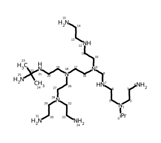 CC(C)N(CCN)CCNCN(CCNCCN)CCN(CCNC(C)(C)N)CCN(CCN)CCN